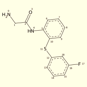 NCC(=O)Nc1ccccc1Sc1cccc(F)c1